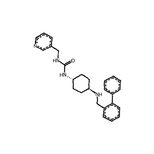 O=C(NCc1cccnc1)N[C@H]1CC[C@H](NCc2ccccc2-c2ccccc2)CC1